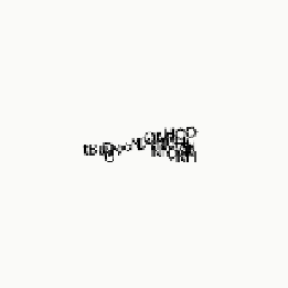 COC1(c2cnc(N3CCc4[nH]c5nnc(-c6ccccc6O)cc5c4[C@H]3C)nc2)CCN(C2CC3(C2)CN(C(=O)OC(C)(C)C)C3)CC1